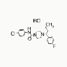 CCCC(c1ccc(F)cc1)N1CCN(C(=O)Nc2ccc(Cl)cc2)CC1.Cl